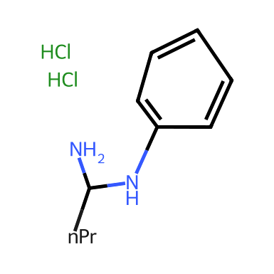 CCCC(N)Nc1ccccc1.Cl.Cl